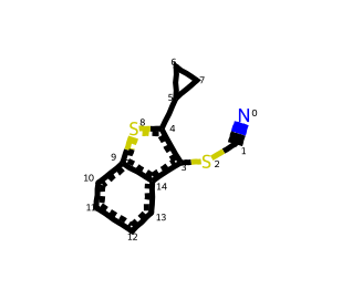 N#CSc1c(C2CC2)sc2ccccc12